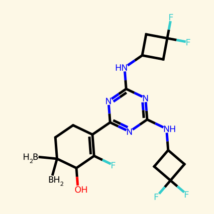 BC1(B)CCC(c2nc(NC3CC(F)(F)C3)nc(NC3CC(F)(F)C3)n2)=C(F)C1O